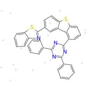 c1ccc(-c2nc(-c3ccccc3)nc(-c3cccc4sc5ccc(-c6nc7ccccc7s6)cc5c34)n2)cc1